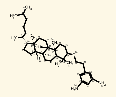 CC(C)CCCC(C)[C@H]1CC[C@H]2[C@@H]3CCC4C(C)(C)C(OCCc5cc(N)cc(N)c5)CC[C@]4(C)[C@H]3CC[C@]12C